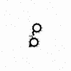 C1CCCCCC(CCNC2CCCCCCC3CC3CC2)CCCC1